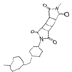 CC1CCC(CC2CCC(N3C(=O)C4C(C3=O)C3C5C(=O)N(C)C(=O)C5C43)CC2)CC1